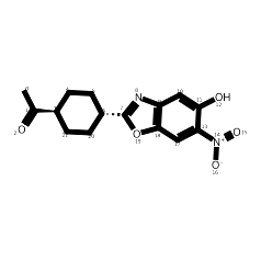 CC(=O)[C@H]1CC[C@H](c2nc3cc(O)c([N+](=O)[O-])cc3o2)CC1